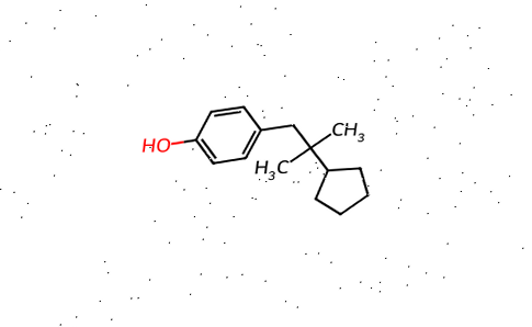 CC(C)(Cc1ccc(O)cc1)C1CCCC1